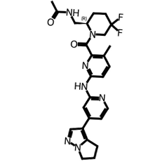 CC(=O)NC[C@H]1CCC(F)(F)CN1C(=O)c1nc(Nc2cc(-c3cnn4c3CCC4)ccn2)ccc1C